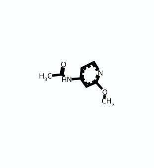 COc1cc(NC(C)=O)ccn1